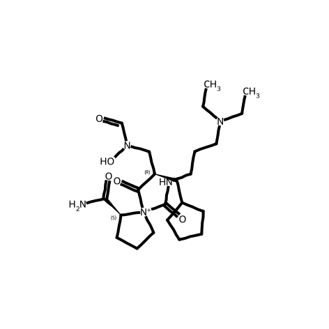 CCN(CC)CCCNC(=O)[N+]1(C(=O)[C@H](CC2CCCC2)CN(O)C=O)CCC[C@H]1C(N)=O